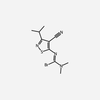 CC(C)c1nsc(N=C(Br)N(C)C)c1C#N